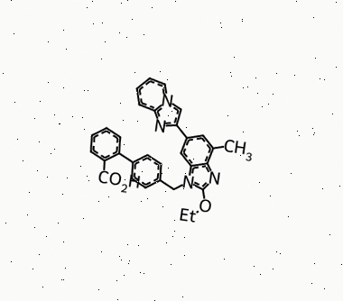 CCOc1nc2c(C)cc(-c3cn4ccccc4n3)cc2n1Cc1ccc(-c2ccccc2C(=O)O)cc1